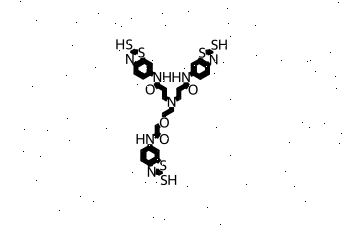 O=C(CCN(CCOCC(=O)Nc1ccc2nc(S)sc2c1)CCC(=O)Nc1ccc2nc(S)sc2c1)Nc1ccc2nc(S)sc2c1